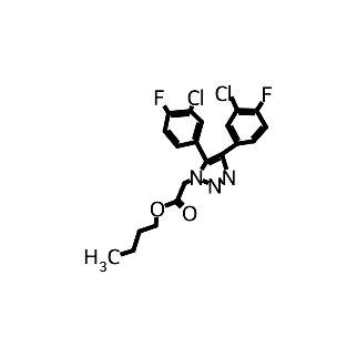 CCCCOC(=O)Cn1nnc(-c2ccc(F)c(Cl)c2)c1-c1ccc(F)c(Cl)c1